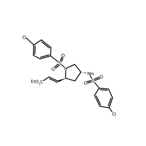 CCOC(=O)C=C[C@@H]1C[C@@H](NS(=O)(=O)c2ccc(Cl)cc2)CN1S(=O)(=O)c1ccc(Cl)cc1